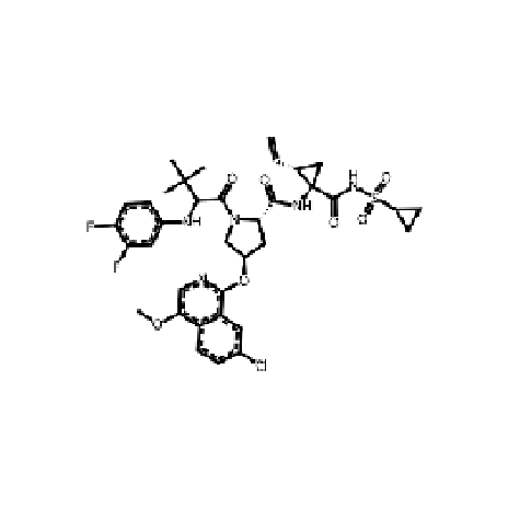 C=C[C@@H]1C[C@]1(NC(=O)[C@@H]1C[C@@H](Oc2ncc(OC)c3ccc(Cl)cc23)CN1C(=O)C(Nc1ccc(F)c(F)c1)C(C)(C)C)C(=O)NS(=O)(=O)C1CC1